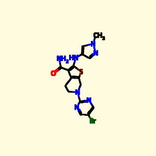 Cn1cc(Nc2sc3c(c2C(N)=O)CCN(c2ncc(Br)cn2)C3)cn1